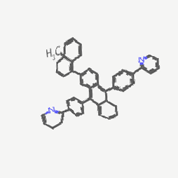 CC12C=CC=CC1=C(c1ccc3c(c1)=C(c1ccc(C4=NC=CCC4)cc1)C1=CC=CCC1C=3c1ccc(-c3ccccn3)cc1)C=CC2